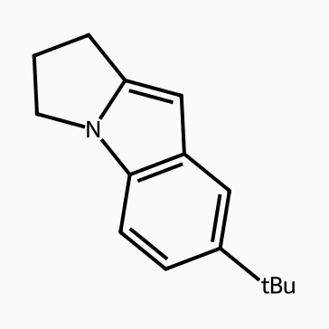 CC(C)(C)c1ccc2c(c1)cc1n2CCC1